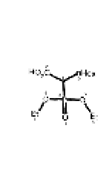 CCCCCCC(C(=O)O)P(=O)(OCC)OCC